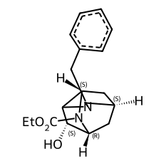 CCOC(=O)N1[C@@H]2C[C@@H]3C[C@H]1C([C@H]2O)N(Cc1ccccc1)C3